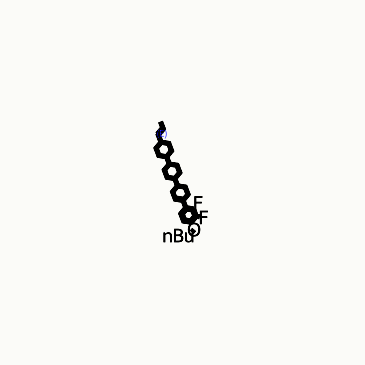 C/C=C/C1CCC(C2CCC(C3CC=C(c4ccc(OCCCC)c(F)c4F)CC3)CC2)CC1